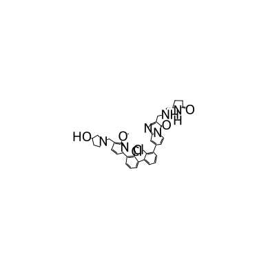 COc1nc(-c2cccc(-c3cccc(-c4ccn5c(=O)c(CNC[C@@H]6CCC(=O)N6)cnc5c4)c3Cl)c2Cl)ccc1CN1CC[C@@H](O)C1